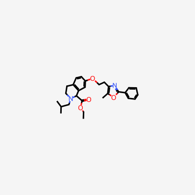 CCOC(=O)C1c2cc(OCCc3nc(-c4ccccc4)oc3C)ccc2CCN1CC(C)C